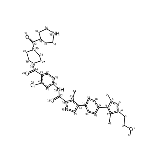 COCCn1nc(C)c(-c2ccc(-c3cnc(C(=O)Nc4ccc(C(=O)N5CCN(C(=O)C6CCNCC6)CC5)c(Cl)c4)n3C)cc2)c1C